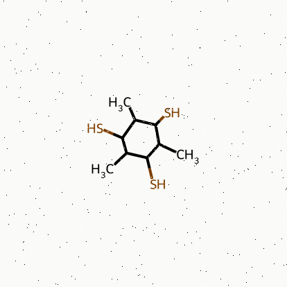 CC1C(S)C(C)C(S)C(C)C1S